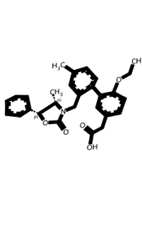 CCOc1ccc(CC(=O)O)cc1-c1ccc(C)cc1CN1C(=O)O[C@H](c2ccccc2)[C@@H]1C